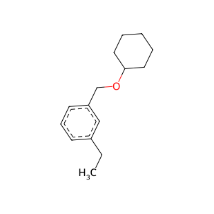 CCc1cccc(COC2CCCCC2)c1